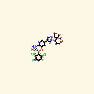 C[C@@H](Oc1cc(-c2cnn(C3CCOCC34CCOC4)c2)cnc1N)c1c(Cl)ccc(F)c1Cl